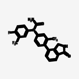 NC(=O)N(c1ccc(F)c(C(F)(F)F)c1)c1ccc(-c2cccc3c2CNC3=O)c(C(F)(F)F)c1